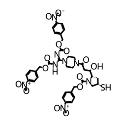 O=C(N=C(NC(=O)OCc1ccc([N+](=O)[O-])cc1)N1CCN(C(=O)C[C@@H](O)[C@@H]2C[C@H](S)CN2C(=O)OCc2ccc([N+](=O)[O-])cc2)CC1)OCc1ccc([N+](=O)[O-])cc1